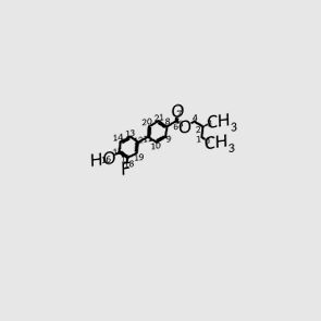 CC[C@H](C)COC(=O)c1ccc(-c2ccc(O)c(F)c2)cc1